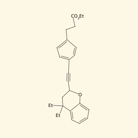 CCOC(=O)CCc1ccc(C#CC2CC(CC)(CC)c3ccccc3O2)cc1